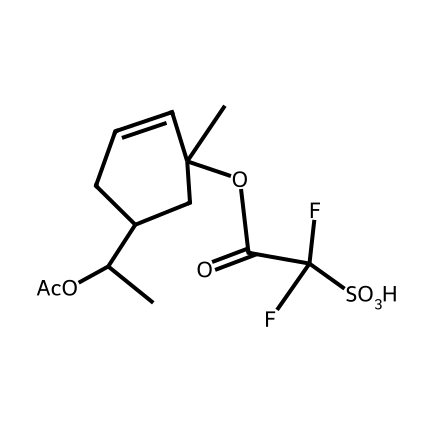 CC(=O)OC(C)C1CC=CC(C)(OC(=O)C(F)(F)S(=O)(=O)O)C1